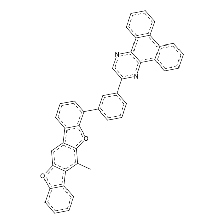 Cc1c2oc3c(-c4cccc(-c5cnc6c7ccccc7c7ccccc7c6n5)c4)cccc3c2cc2oc3ccccc3c12